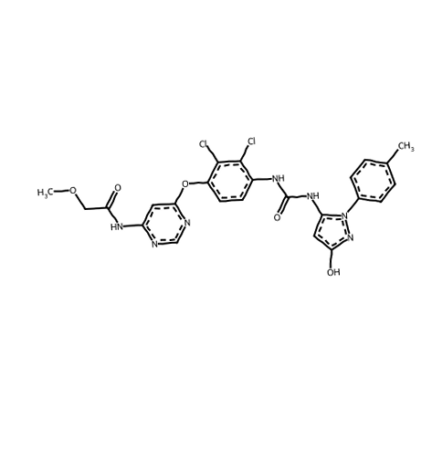 COCC(=O)Nc1cc(Oc2ccc(NC(=O)Nc3cc(O)nn3-c3ccc(C)cc3)c(Cl)c2Cl)ncn1